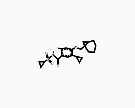 O=C(NS(=O)(=O)C1CC1)c1cc(C2CC2)c(OCC23CCCCC2C3)cc1F